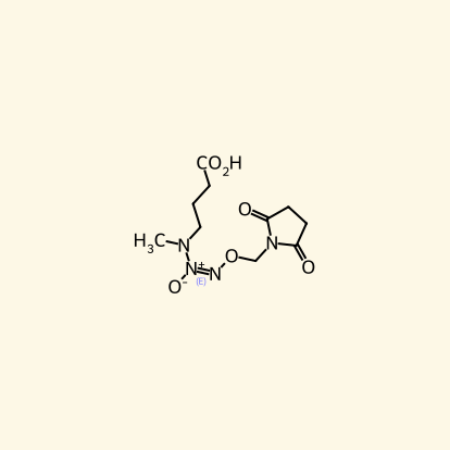 CN(CCCC(=O)O)/[N+]([O-])=N\OCN1C(=O)CCC1=O